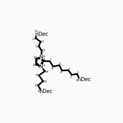 CCCCCCCCCCCCCCCCCc1n(CCCCCCCCCCCCCC)cc[n+]1CCCCCCCCCCCCCC